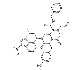 C=CCN1CC(=O)N2C(Cc3ccc(O)cc3)C(=O)N(C(CCC)c3cccc4c(C(C)=O)c[nH]c34)CC2N1C(=O)NCc1ccccc1